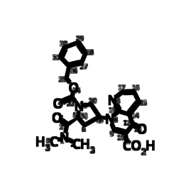 CN(C)C(=O)[C@@H]1C[C@H](n2cc(C(=O)O)c(=O)c3cccnc32)CN1C(=O)OCc1ccccc1